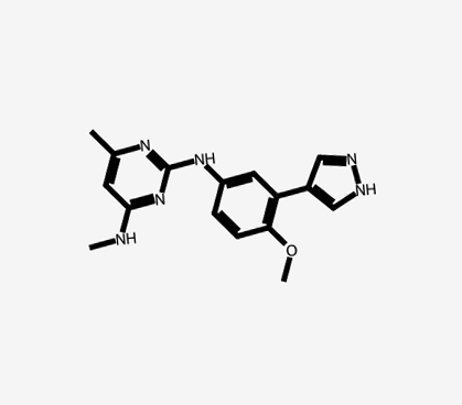 CNc1cc(C)nc(Nc2ccc(OC)c(-c3cn[nH]c3)c2)n1